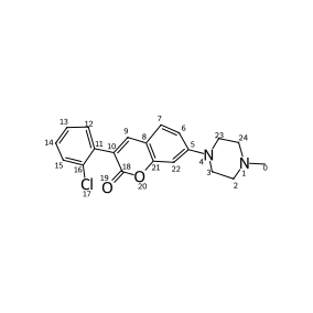 CN1CCN(c2ccc3cc(-c4ccccc4Cl)c(=O)oc3c2)CC1